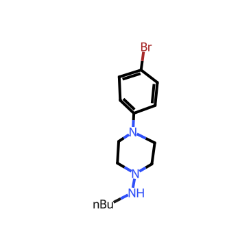 CCCCNN1CCN(c2ccc(Br)cc2)CC1